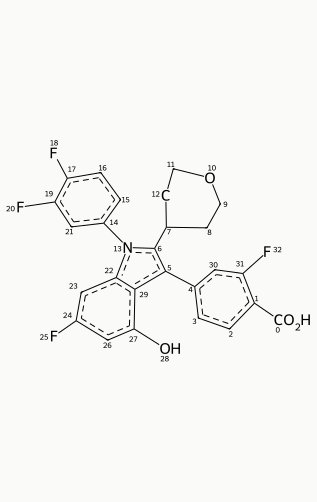 O=C(O)c1ccc(-c2c(C3CCOCC3)n(-c3ccc(F)c(F)c3)c3cc(F)cc(O)c23)cc1F